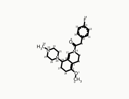 COC1=C2CCN(C(=O)Cc3ccc(F)cc3)C=C2C(N2CCN(C)CC2)CC1